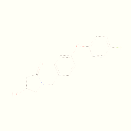 O=C1CC(O)CN1Cc1ccc(Oc2ccc(F)cc2)cc1